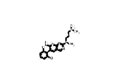 CN(C)CCCN(C)c1ncc2cc(-c3c(Cl)cccc3Cl)c(N)nc2n1